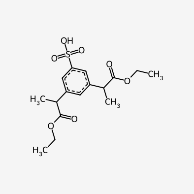 CCOC(=O)C(C)c1cc(C(C)C(=O)OCC)cc(S(=O)(=O)O)c1